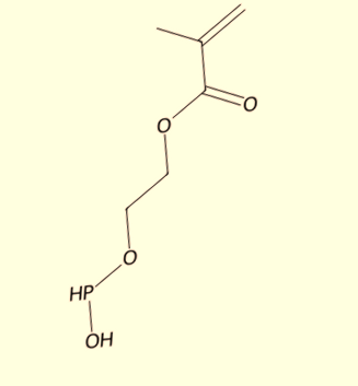 C=C(C)C(=O)OCCOPO